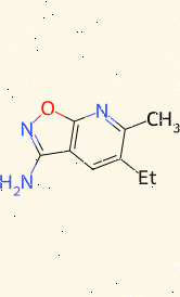 CCc1cc2c(N)noc2nc1C